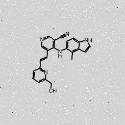 Cc1c(Nc2c(C#N)cncc2C=Cc2cccc(CO)n2)ccc2[nH]ccc12